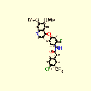 COc1cc2nccc(Oc3ccc(NC(=O)Cc4ccc(Cl)c(C(F)(F)F)c4)c(F)c3)c2cc1OC